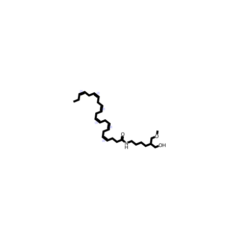 CC/C=C\C/C=C\C/C=C\C/C=C\C/C=C\C/C=C\CCC(=O)NCCCCC(CO)COC